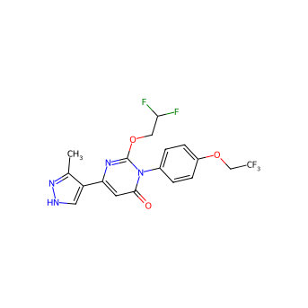 Cc1n[nH]cc1-c1cc(=O)n(-c2ccc(OCC(F)(F)F)cc2)c(OCC(F)F)n1